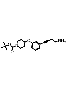 CC(C)(C)OC(=O)N1CCC(Oc2cccc(C#CCCN)c2)CC1